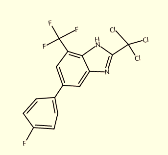 Fc1ccc(-c2cc(C(F)(F)F)c3[nH]c(C(Cl)(Cl)Cl)nc3c2)cc1